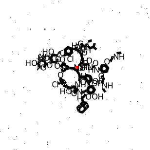 CCNCCOc1ccc(OCCNCC)c(NC(=O)NC(=O)C[C@@H]2CC(=O)[C@H](NC(=O)[C@H](CC)CC(C)C)[C@H](O)c3ccc(c(Cl)c3)Oc3cc4cc(c3O[C@@H]3O[C@H](CO)[C@@H](O)[C@H](O)[C@H]3O[C@H]3C[C@](C)(N)[C@H](O)[C@H](C)O3)Oc3ccc(cc3Cl)[C@@H](O)[C@@H]3NC(=O)[C@H](CC(=O)[C@@H]4NC2=O)c2ccc(O)c(c2)-c2c(O)cc(O)cc2[C@@H](C(=O)CC2C4CC5CC(C4)CC2C5)NC3=O)c1